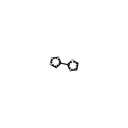 c1coc(-c2cnon2)n1